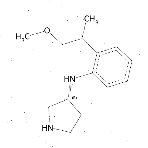 COCC(C)c1ccccc1N[C@@H]1CCNC1